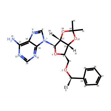 CC[C@@H](OC[C@H]1O[C@@H](n2cnc3c(N)ncnc32)[C@@H]2OC(C)(C)O[C@@H]21)c1ccccc1